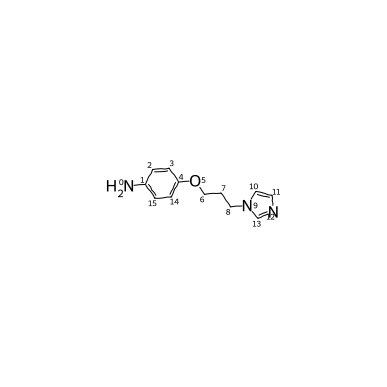 Nc1ccc(OCCCn2ccnc2)cc1